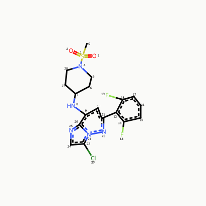 CS(=O)(=O)N1CCC(Nc2cc(-c3c(F)cccc3F)nn3c(Cl)cnc23)CC1